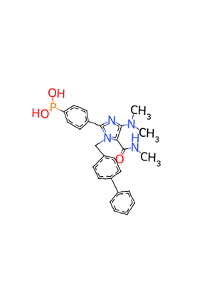 CNC(=O)c1c(N(C)C)nc(-c2ccc(P(O)O)cc2)n1Cc1ccc(-c2ccccc2)cc1